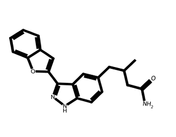 CC(CC(N)=O)Cc1ccc2[nH]nc(-c3cc4ccccc4o3)c2c1